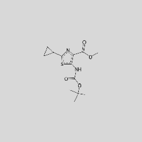 COC(=O)c1nc(C2CC2)sc1NC(=O)OC(C)(C)C